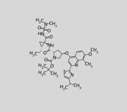 CC[C@@H]1C[C@]1(NC(=O)[C@@H]1C[C@@H](Oc2cc(-c3nc(C(C)C)cs3)nc3c(C)c(OC)ccc23)CN1C(=O)OC(C)(C)C)C(=O)NS(=O)(=O)N(C)C